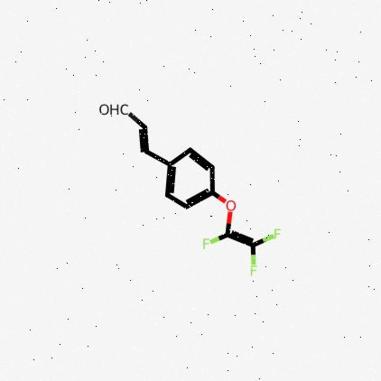 O=C/C=C/c1ccc(OC(F)=C(F)F)cc1